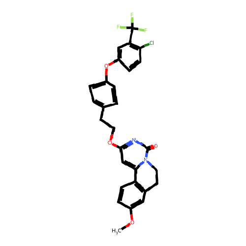 COc1ccc2c(c1)CCn1c-2cc(OCCc2ccc(Oc3ccc(Cl)c(C(F)(F)F)c3)cc2)nc1=O